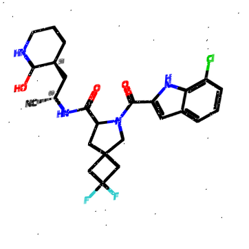 N#C[C@H](C[C@@H]1CCCNC1O)NC(=O)C1CC2(CN1C(=O)c1cc3cccc(Cl)c3[nH]1)CC(F)(F)C2